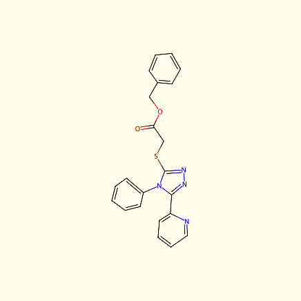 O=C(CSc1nnc(-c2ccccn2)n1-c1ccccc1)OCc1ccccc1